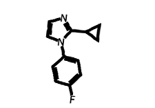 Fc1ccc(-n2ccnc2C2CC2)cc1